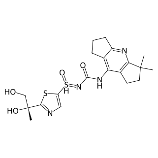 CC1(C)CCc2c1nc1c(c2NC(=O)/N=[SH](=O)/c2cnc([C@](C)(O)CO)s2)CCC1